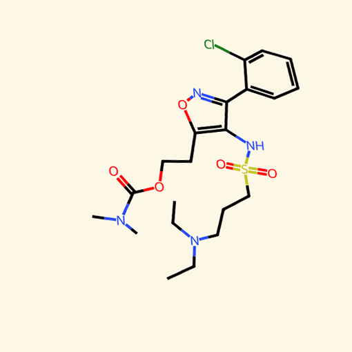 CCN(CC)CCCS(=O)(=O)Nc1c(-c2ccccc2Cl)noc1CCOC(=O)N(C)C